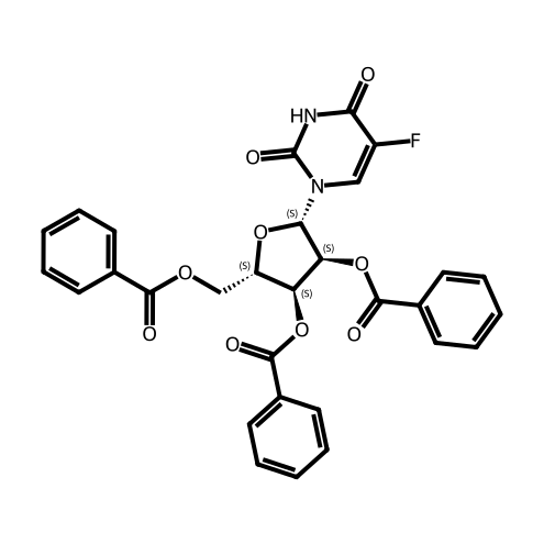 O=C(OC[C@@H]1O[C@H](n2cc(F)c(=O)[nH]c2=O)[C@@H](OC(=O)c2ccccc2)[C@H]1OC(=O)c1ccccc1)c1ccccc1